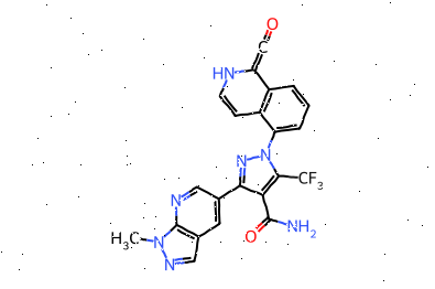 Cn1ncc2cc(-c3nn(-c4cccc5c4C=CNC5=C=O)c(C(F)(F)F)c3C(N)=O)cnc21